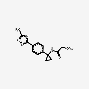 COCC(=O)NC1(c2ccc(-c3noc(C(F)(F)F)n3)cc2)CC1